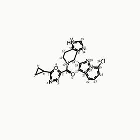 O=C(c1nnc(C2CC2)o1)N1CCc2[nH]cnc2[C@@H]1c1cc2cccc(Cl)n2n1